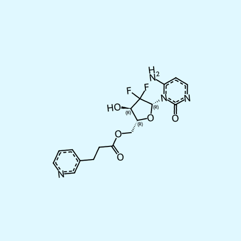 Nc1ccnc(=O)n1[C@@H]1O[C@H](COC(=O)CCc2cccnc2)[C@@H](O)C1(F)F